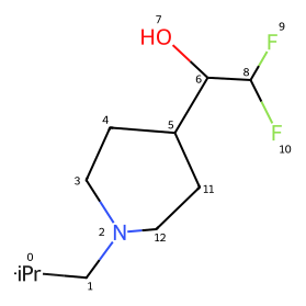 C[C](C)CN1CCC(C(O)C(F)F)CC1